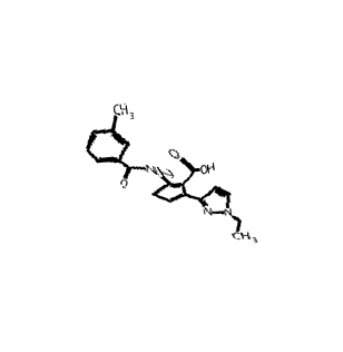 CCn1ccc(C2=CCC(NC(=O)c3cccc(C)c3)=C2C(=O)O)n1